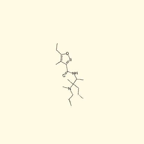 CCCN(C)C(C)(CCC)C(C)NC(=O)c1noc(CC)c1C